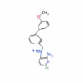 COc1cccc(-c2cccc(CNc3ccc(Cl)nc3N)c2)c1